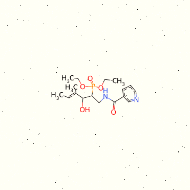 C/C=C(\C)C(O)C(CNC(=O)c1cccnc1)P(=O)(OCC)OCC